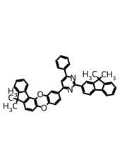 CC1(C)c2ccccc2-c2ccc(-c3nc(-c4ccccc4)cc(-c4ccc5c(c4)Oc4c(ccc6c4-c4ccccc4C6(C)C)O5)n3)cc21